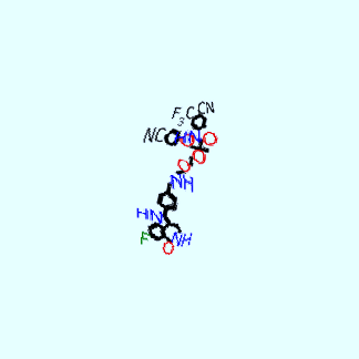 CC(COc1ccc(C#N)cc1)(OCCOCCNCc1ccc(-c2[nH]c3cc(F)cc4c3c2CCNC4=O)cc1)C(=O)Nc1ccc(C#N)c(C(F)(F)F)c1